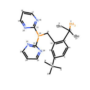 CC(C)(C)C(P)(c1ccc([Si](C)(C)C)cc1CP(c1ncccn1)c1ncccn1)C(C)(C)C